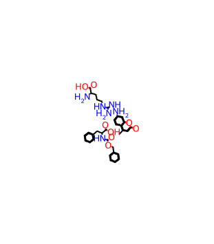 Cc1cc(=O)oc2cc(N)ccc12.N=C(N)NCCCC(N)C(=O)O.O=C(NC(Cc1ccccc1)C(=O)O)OCc1ccccc1